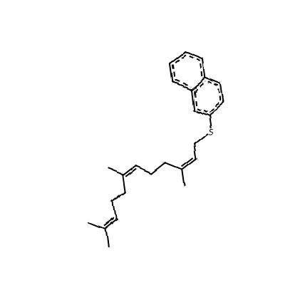 CC(C)=CCCC(C)=CCCC(C)=CCSc1ccc2ccccc2c1